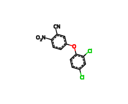 N#Cc1cc(Oc2ccc(Cl)cc2Cl)ccc1[N+](=O)[O-]